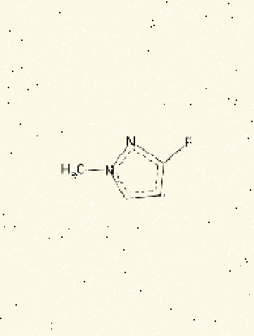 Cn1c[c]c(F)n1